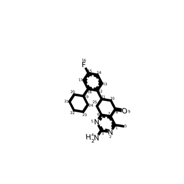 Cc1nc(N)nc2c1C(=O)CC(c1ccc(F)cc1C1CCCCC1)C2